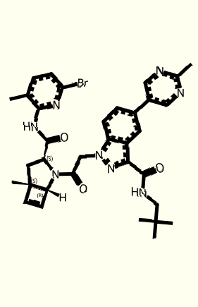 Cc1ncc(-c2ccc3c(c2)c(C(=O)NCC(C)(C)C)nn3CC(=O)N2[C@H](C(=O)Nc3nc(Br)ccc3C)C[C@@]3(C)C=C[C@@H]23)cn1